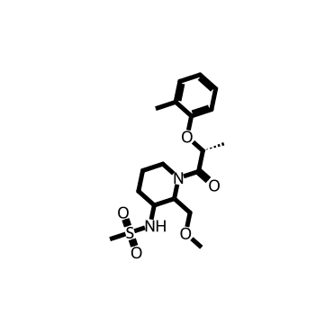 COCC1C(NS(C)(=O)=O)CCCN1C(=O)[C@@H](C)Oc1ccccc1C